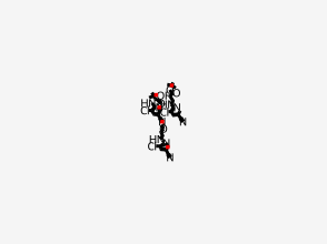 CC(C)(C)C(Nc1ncc(C#N)cc1Cl)C(=O)O.CC(C)(C)OC(=O)CCNc1ncc(C#N)cc1Cl.COCCNc1ncc(C#N)cc1Cl